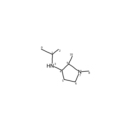 CC(C)NC1CCN(C)C1C